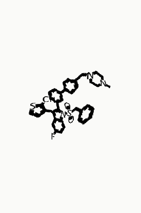 CN1CCN(Cc2ccc(-c3cccc(-c4c(-c5ccsc5C#N)c5cc(F)ccc5n4S(=O)(=O)Cc4ccccc4)c3)cc2)CC1